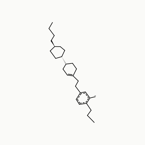 CCCC[C@H]1CC[C@H](C2CC=C(CCc3ccc(CCC)c(F)c3)CC2)CC1